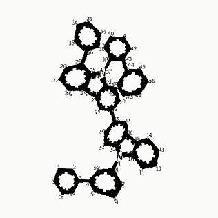 c1ccc(-c2cccc(-n3c4ccccc4c4cc(-c5ccc6c(c5)c5cccc(-c7ccccc7)c5n6-c5ccccc5-c5ccccc5)ccc43)c2)cc1